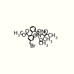 COCN(c1noc(C)c1C)S(=O)(=O)c1ccccc1-c1ccc(CBr)cc1C(=O)OC